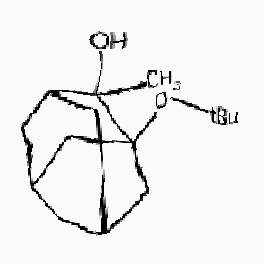 CC(C)(C)OC12CC3CC(CC(C3)C1(C)O)C2